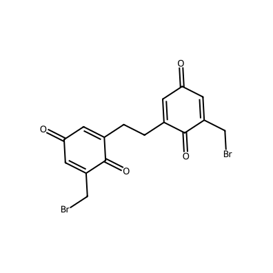 O=C1C=C(CBr)C(=O)C(CCC2=CC(=O)C=C(CBr)C2=O)=C1